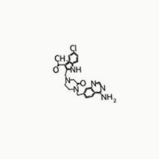 CC(=O)c1c(CN2CCN(Cc3ccc4c(N)ncnc4c3)C(=O)C2)[nH]c2ccc(Cl)cc12